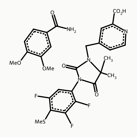 COc1ccc(C(N)=O)cc1OC.CSc1c(F)cc(N2C(=O)N(Cc3ccnc(C(=O)O)c3)C(C)(C)C2=O)c(F)c1F